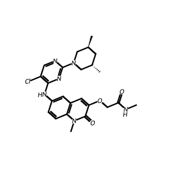 CNC(=O)COc1cc2cc(Nc3nc(N4C[C@@H](C)C[C@H](C)C4)ncc3Cl)ccc2n(C)c1=O